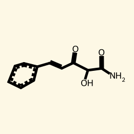 NC(=O)C(O)C(=O)C=Cc1ccccc1